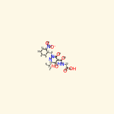 CC(C)c1nn(Cc2ccccc2[N+](=O)[O-])c(=O)c(C(=O)NCC(=O)O)c1O